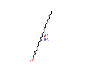 CCCCCCCCCCCCCCCCCCCCCCO.NC=O